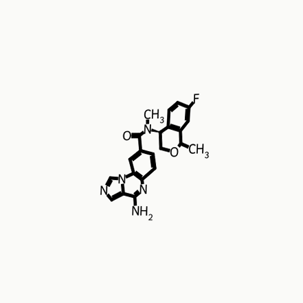 CC1OC[C@@H](N(C)C(=O)c2ccc3nc(N)c4cncn4c3c2)c2ccc(F)cc21